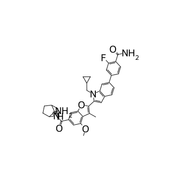 COc1cc(C(=O)N2CC3CCC2[C@@H]3N)cc2oc(-c3cc4ccc(-c5ccc(C(N)=O)c(F)c5)cc4n3CC3CC3)c(C)c12